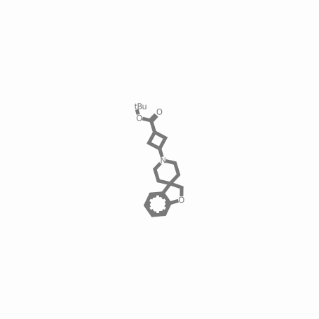 CC(C)(C)OC(=O)C1CC(N2CCC3(CC2)COc2ccccc23)C1